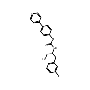 O=C(Nc1ccc(-c2ccncc2)cc1)N[C@@H](CO)Cc1cccc(F)c1